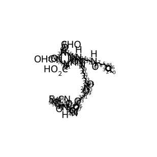 Cc1ccc(CCCC(=O)NCCCC[C@@H](NN=CCCCCCCC(=O)N2CCC(CCCOc3ccc4nccc(C(=O)NCC(=O)N5CC(C)(F)C[C@@H]5C#N)c4c3)CC2)NC(=O)CN2CCN(COC=O)CCN(COC=O)CCN(CC(=O)O)CC2)cc1